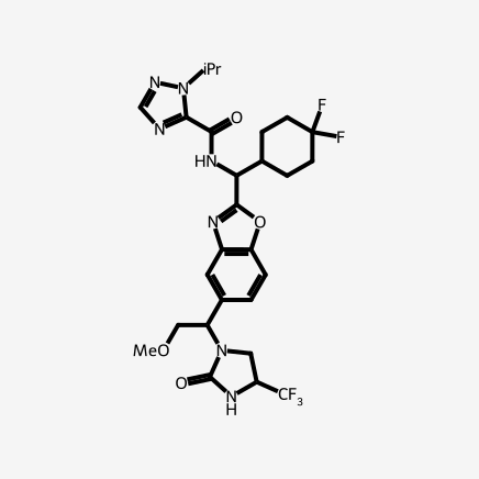 COCC(c1ccc2oc(C(NC(=O)c3ncnn3C(C)C)C3CCC(F)(F)CC3)nc2c1)N1CC(C(F)(F)F)NC1=O